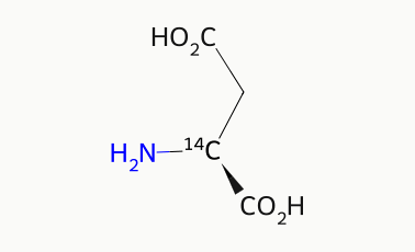 N[14C@@H](CC(=O)O)C(=O)O